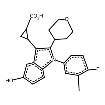 Cc1cc(-n2c(C3CCOCC3)c(C3CC3C(=O)O)c3cc(O)ccc32)ccc1F